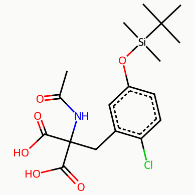 CC(=O)NC(Cc1cc(O[Si](C)(C)C(C)(C)C)ccc1Cl)(C(=O)O)C(=O)O